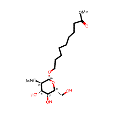 COC(=O)CCCCCCCCO[C@@H]1O[C@H](CO)[C@@H](O)[C@H](O)[C@H]1NC(C)=O